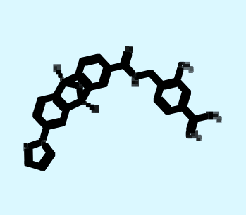 C=C(N)c1ccc(CNC(=O)c2ccc3c(c2)[C@@H]2O[C@H]3c3ccc(-n4cccn4)cc32)c(C)c1